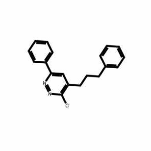 Clc1nnc(-c2ccccc2)cc1CCCc1ccccc1